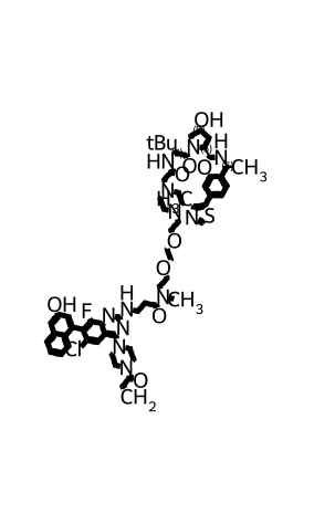 C=CC(=O)N1CCN(c2nc(NCCC(=O)N(C)CCOCCOCCN3CCN(CC(=O)N[C@H](C(=O)N4C[C@H](O)C[C@H]4C(=O)N[C@@H](C)c4ccc(-c5scnc5C)cc4)C(C)(C)C)CC3)nc3c(F)c(-c4cc(O)cc5ccccc45)c(Cl)cc23)CC1